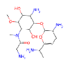 COC1C(O)C(N)C(OC2OC(C(C)N)=CCC2N)C(O)C1N(C)C(=O)CN